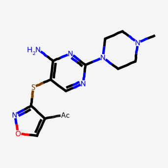 CC(=O)c1conc1Sc1cnc(N2CCN(C)CC2)nc1N